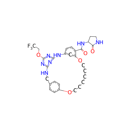 O=C(NC1CCNC1=O)c1ccc2cc1OCCCCCCOc1ccc(cc1)CNc1nc(nc(OCC(F)(F)F)n1)N2